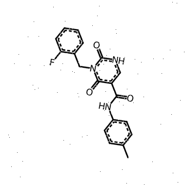 Cc1ccc(NC(=O)c2c[nH]c(=O)n(Cc3ccccc3F)c2=O)cc1